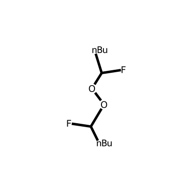 CCCCC(F)OOC(F)CCCC